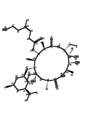 CC[C@H]1OC(=O)[C@H](C)[C@@H](OC(=O)CCN(C)CCO)[C@H](C)[C@@H](O[C@@H]2O[C@H](C)C[C@H](N(C)C)[C@H]2O)[C@](C)(OC)C[C@@H](C)C(=O)N[C@H](C)[C@@H](O)[C@]1(C)O